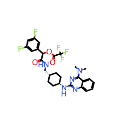 CN(C)c1nc(N[C@H]2CC[C@@H](CNC(=O)C(OC(=O)C(F)(F)F)c3cc(F)cc(F)c3)CC2)nc2ccccc12